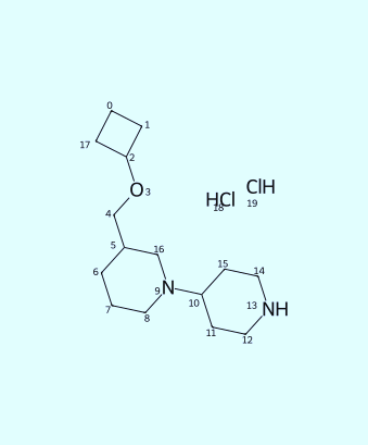 C1CC(OCC2CCCN(C3CCNCC3)C2)C1.Cl.Cl